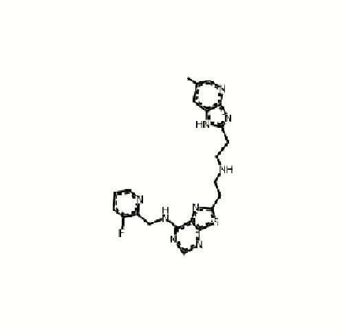 Cc1cnc2nc(CCNCCc3nc4c(NCc5ncccc5F)ncnc4s3)[nH]c2c1